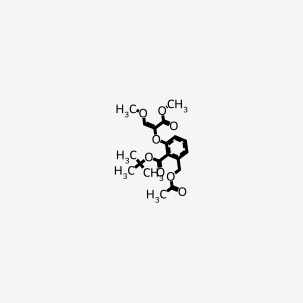 COC=C(Oc1cccc(COC(C)=O)c1C(=O)OC(C)(C)C)C(=O)OC